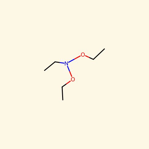 CCON(CC)OCC